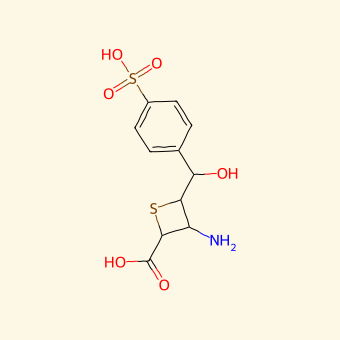 NC1C(C(=O)O)SC1C(O)c1ccc(S(=O)(=O)O)cc1